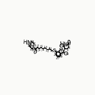 O=C1CCC(N2Cc3c(SCCCCCCCCC(=O)N4CCNCC4)cccc3C2=O)C(=O)N1